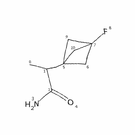 CC(C(N)=O)C12CC(F)(C1)C2